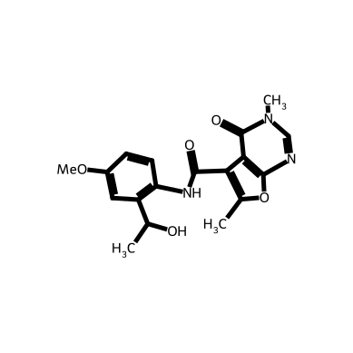 COc1ccc(NC(=O)c2c(C)oc3ncn(C)c(=O)c23)c(C(C)O)c1